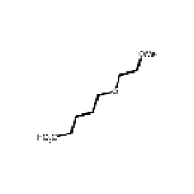 COCCOCCCCC(=O)O